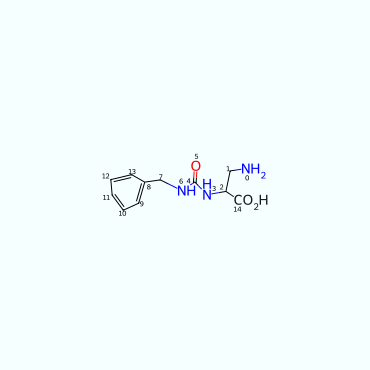 NCC(NC(=O)NCc1ccccc1)C(=O)O